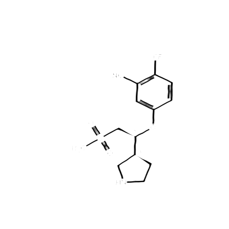 CS(=O)(=O)C[C@@H](Oc1ccc(C(F)(F)F)c(C#N)c1)[C@H]1CCNC1